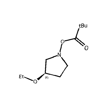 CCO[C@@H]1CCN(OC(=O)C(C)(C)C)C1